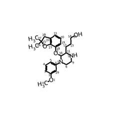 COc1cccc(N2CCNC(CCCO)C2Oc2cccc3c2OC(C)(C)C3)c1